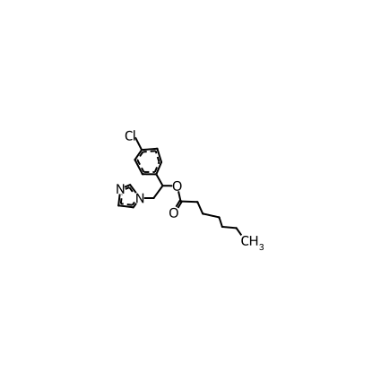 CCCCCCC(=O)OC(Cn1ccnc1)c1ccc(Cl)cc1